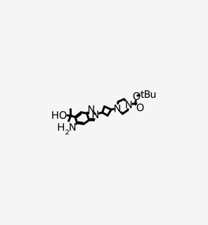 CC(C)(C)OC(=O)N1CCN(C2CC(n3cc4cc(N)c(C(C)(C)O)cc4n3)C2)CC1